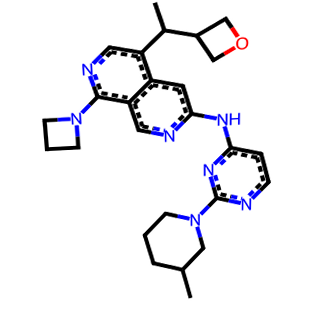 CC1CCCN(c2nccc(Nc3cc4c(C(C)C5COC5)cnc(N5CCC5)c4cn3)n2)C1